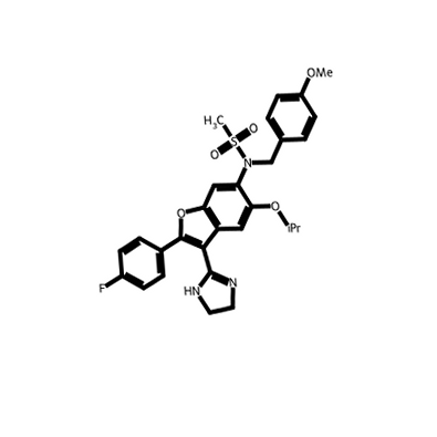 COc1ccc(CN(c2cc3oc(-c4ccc(F)cc4)c(C4=NCCN4)c3cc2OC(C)C)S(C)(=O)=O)cc1